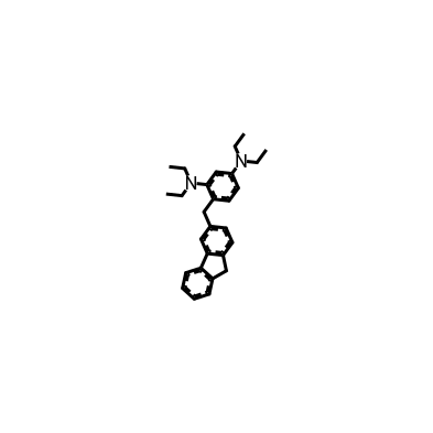 CCN(CC)c1ccc(Cc2ccc3c(c2)-c2ccccc2C3)c(N(CC)CC)c1